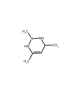 C[C]1C=C(C)NN(C)N1